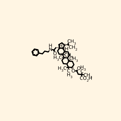 C=C(C)[C@@H]1CC[C@]2(CC(=O)NCCCc3ccccc3)CC[C@]3(C)[C@H](CCC4[C@@]5(C)CC[C@H](OC(=O)CC(C)(C)C(=O)O)C(C)(C)C5CC[C@]43C)[C@@H]12